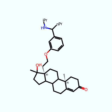 CCCC(NC(C)C)c1cccc(OCC[C@]23CCC4C(CCC5=CC(=O)CC[C@@]54C)C2CCC3(C)O)c1